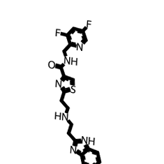 O=C(NCc1ncc(F)cc1F)c1csc(CCNCCc2nc3ccccc3[nH]2)n1